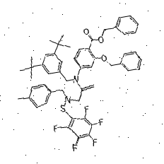 C=C(CN(Cc1ccc(C)cc1)Sc1c(F)c(F)c(F)c(F)c1F)N(Cc1cc(C(C)(C)C)cc(C(C)(C)C)c1)c1ccc(C(=O)OCc2ccccc2)c(OCc2ccccc2)c1